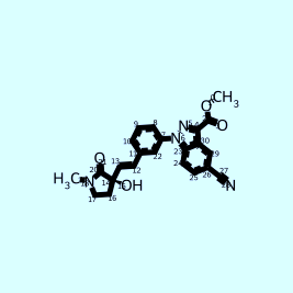 COC(=O)c1nn(-c2cccc(C=C[C@]3(O)CCN(C)C3=O)c2)c2ccc(C#N)cc12